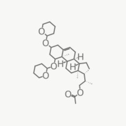 CC(=O)OC[C@@H](C)[C@H]1CC[C@H]2[C@@H]3CC=C4CC(OC5CCCCO5)CC(OC5CCCCO5)[C@]4(C)[C@H]3CC[C@]12C